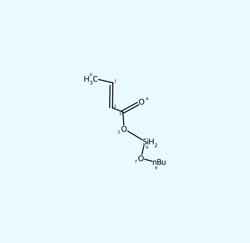 CC=CC(=O)O[SiH2]OCCCC